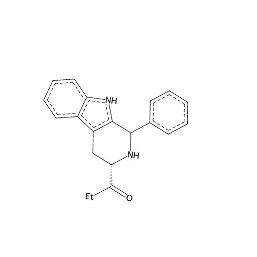 CCC(=O)[C@@H]1Cc2c([nH]c3ccccc23)C(c2ccccc2)N1